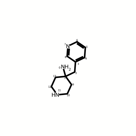 NC1(Cc2cccnc2)CCNCC1